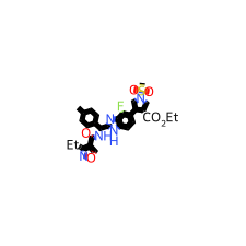 CCOC(=O)C1CN(S(C)(=O)=O)CC1c1ccc2[nH]c([C@@H](NC(=O)c3conc3CC)C3CCC(C)CC3)nc2c1F